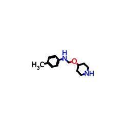 Cc1ccc(NCOC2CCNCC2)cc1